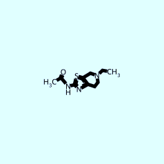 CCN1CCc2nc(NC(C)=O)sc2C1